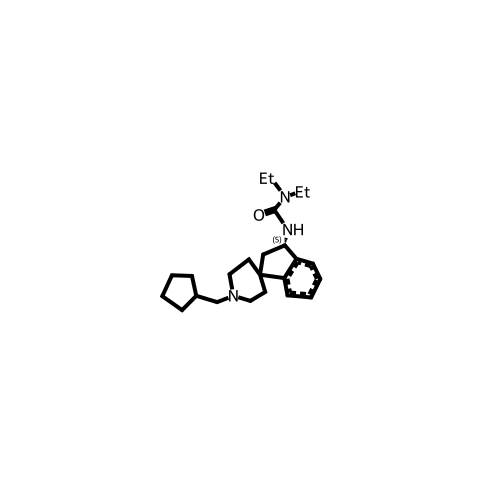 CCN(CC)C(=O)N[C@H]1CC2(CCN(CC3CCCC3)CC2)c2ccccc21